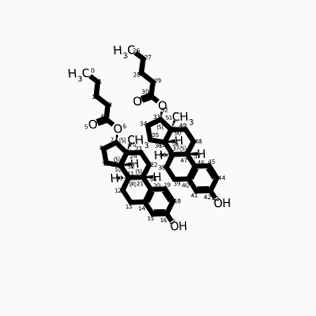 CCCCC(=O)O[C@H]1CC[C@H]2[C@@H]3CCc4cc(O)ccc4[C@H]3CC[C@]12C.CCCCC(=O)O[C@H]1CC[C@H]2[C@@H]3CCc4cc(O)ccc4[C@H]3CC[C@]12C